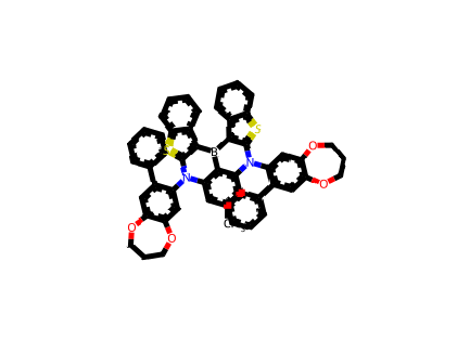 Cc1cc2c3c(c1)N(c1cc4c(cc1-c1ccccc1)OCCCO4)c1sc4ccccc4c1B3c1c(sc3ccccc13)N2c1cc2c(cc1-c1ccccc1)OCCCO2